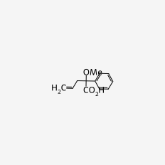 C=CCC(OC)(C(=O)O)c1ccccc1